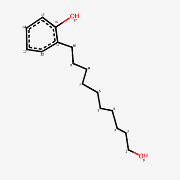 OCCCCCCCCCCc1ccccc1O